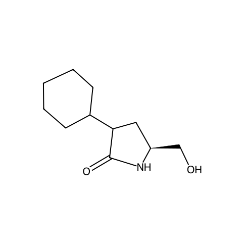 O=C1N[C@H](CO)CC1C1CCCCC1